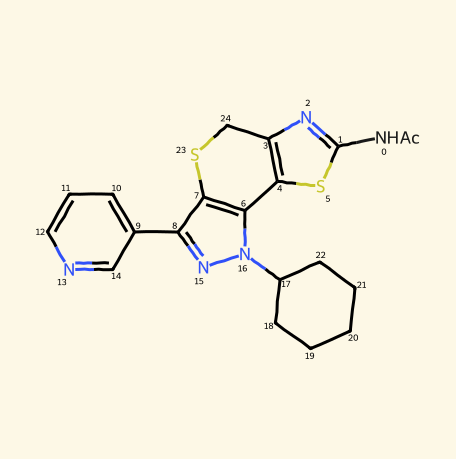 CC(=O)Nc1nc2c(s1)-c1c(c(-c3cccnc3)nn1C1CCCCC1)SC2